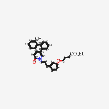 CCOC(=O)CCCOc1cccc(CCCn2cc(-c3ccccc3-c3ccccc3C)ccc2=O)c1